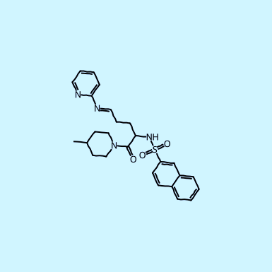 CC1CCN(C(=O)C(CCC=Nc2ccccn2)NS(=O)(=O)c2ccc3ccccc3c2)CC1